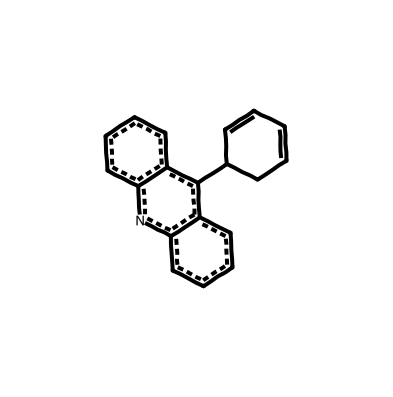 C1=CCC(c2c3ccccc3nc3ccccc23)C=C1